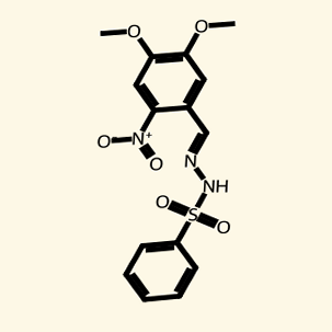 COc1cc(C=NNS(=O)(=O)c2ccccc2)c([N+](=O)[O-])cc1OC